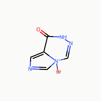 O=C1NN=C[N+]2(Br)C=NC=C12